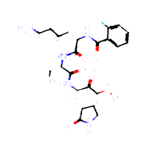 CC(C)C[C@H](NC(=O)[C@H](CCCCN)NC(=O)c1ccccc1F)C(=O)N[C@@H](C[C@@H]1CCNC1=O)C(=O)COC(F)(F)F